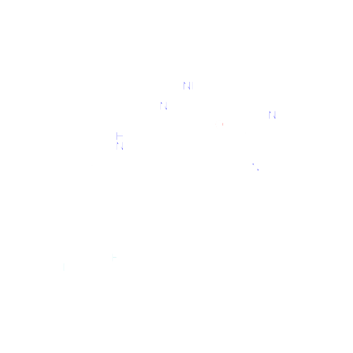 N=N/C(=C\Nc1cccc(C(F)F)c1)COc1ncccn1